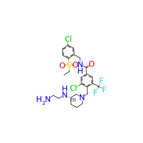 CCS(=O)(=O)c1ccc(Cl)cc1CNC(=O)c1cc(Cl)c(CN2CCC[C@H](NCCN)C2)c(C(F)(F)F)c1